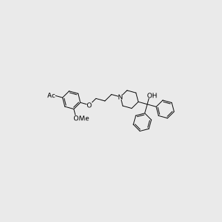 COc1cc(C(C)=O)ccc1OCCCN1CCC(C(O)(c2ccccc2)c2ccccc2)CC1